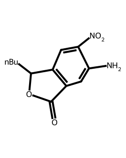 CCCCC1OC(=O)c2cc(N)c([N+](=O)[O-])cc21